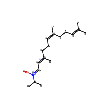 CC(C)=CCCC(C)=CCC/C(C)=C/C=[N+]([O-])C(C)C